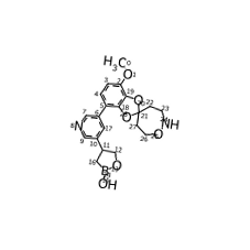 COc1ccc(-c2cncc(C3COB(O)C3)c2)c2c1OC1(CCNOCC1)O2